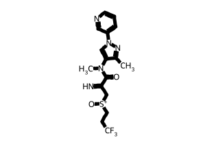 Cc1nn(-c2cccnc2)cc1N(C)C(=O)C(=N)C[S+]([O-])CCC(F)(F)F